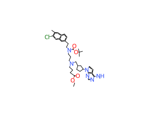 CCOC(=O)CCCN(CCCN(CCc1ccc2cc(C)c(Cl)cc2c1)C(=O)OC(C)(C)C)CC1CCC(n2ccc3c(NC)ncnc32)C1